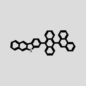 c1ccc2cc3c(cc2c1)sc1cc(-c2c4ccccc4c(-c4cc5ccccc5c5ccccc45)c4ccccc24)ccc13